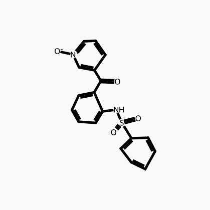 O=C(c1ccc[n+]([O-])c1)c1ccccc1NS(=O)(=O)c1ccccc1